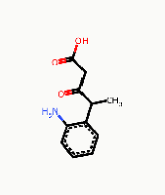 CC(C(=O)CC(=O)O)c1ccccc1N